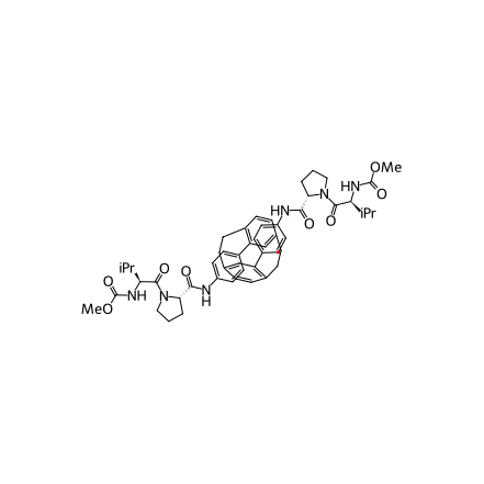 COC(=O)N[C@H](C(=O)N1CCC[C@H]1C(=O)Nc1ccc(-c2cc3ccc2CCc2ccc(c(-c4ccc(NC(=O)[C@@H]5CCCN5C(=O)[C@@H](NC(=O)OC)C(C)C)cc4)c2)CC3)cc1)C(C)C